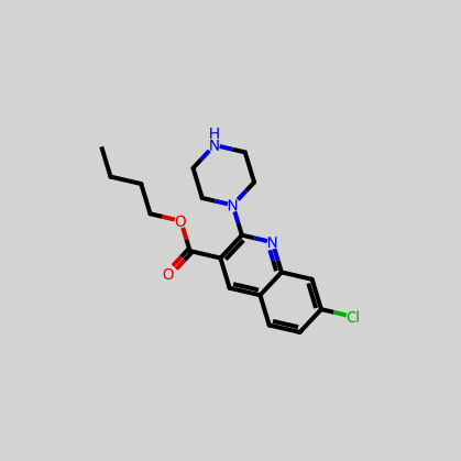 CCCCOC(=O)c1cc2ccc(Cl)cc2nc1N1CCNCC1